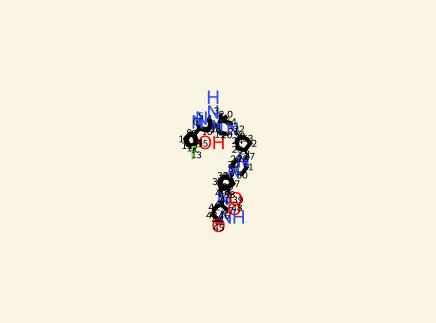 CC12CNc3nnc(-c4cccc(F)c4O)cc3N1CCN(C[C@H]1CC[C@H](CN3CCN(c4ccc5c(c4)C(=O)N(C4CCC(=O)NC4=O)C5)CC3)CC1)C2